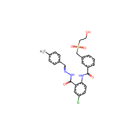 Cc1ccc(C=NNC(=O)c2cc(Br)ccc2NC(=O)c2cccc(CS(=O)(=O)CCO)c2)cc1